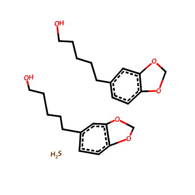 OCCCCCc1ccc2c(c1)OCO2.OCCCCCc1ccc2c(c1)OCO2.S